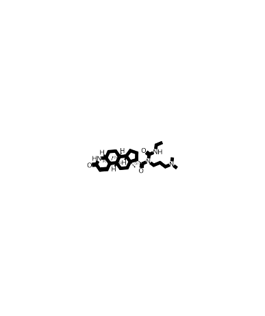 CCNC(=O)N(CCCN(C)C)C(=O)[C@H]1CC[C@H]2[C@@H]3CC[C@H]4NC(=O)C=C[C@]4(C)[C@H]3CC[C@]12C